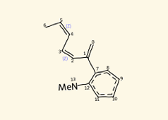 C=C(/C=C\C=C/C)c1ccccc1NC